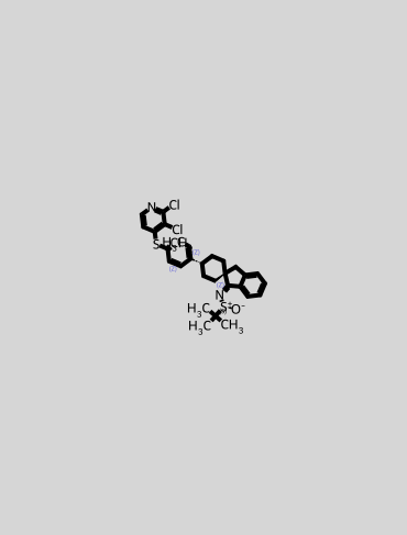 C=C(/C=C\C(=C/C)[C@H]1CC[C@@]2(CC1)Cc1ccccc1/C2=N\[S@+]([O-])C(C)(C)C)Sc1ccnc(Cl)c1Cl